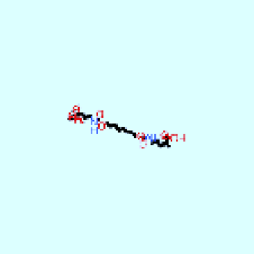 CO[Si](CCCNC(=O)OCCCCCCCCOC(=O)NCCC=C(C)C(=O)O)(OC)OC